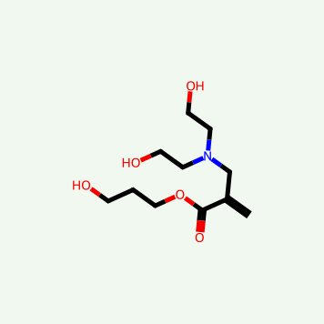 C=C(CN(CCO)CCO)C(=O)OCCCO